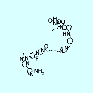 CCCC(C(=O)NC=O)N1Cc2c(NCc3ccc(CN4CCN(CCCCCC(=O)N5CCN(c6ccc(-n7c(C)nc8ccc(-c9ccnc(N)c9)nc87)cc6F)CC5)CC4)cc3)cccc2C1=O